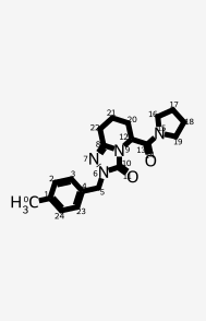 Cc1ccc(Cn2nc3n(c2=O)C(C(=O)N2CCCC2)CCC3)cc1